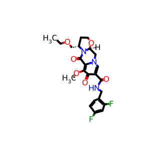 CCOC[C@@H]1CCO[C@H]2Cn3cc(C(=O)NCc4ccc(F)cc4F)c(=O)c(OC)c3C(=O)N12